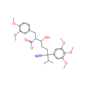 COc1ccc(CC(C(O)CCC(C#N)(c2cc(OC)c(OC)c(OC)c2)C(C)C)[N+](=O)[O-])cc1OC